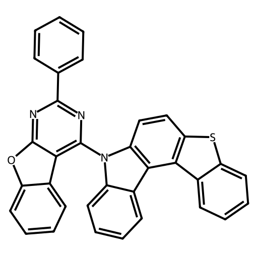 c1ccc(-c2nc(-n3c4ccccc4c4c5c(ccc43)sc3ccccc35)c3c(n2)oc2ccccc23)cc1